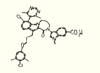 Cc1cc(OCCCc2c3n(c4c(-c5c(C)ncnc5C)c(Cl)ccc24)CCCN(c2cn(C)c4cc(C(=O)O)ccc24)C3=O)cc(C)c1Cl